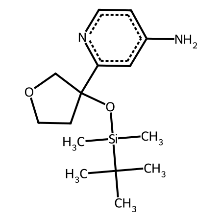 CC(C)(C)[Si](C)(C)OC1(c2cc(N)ccn2)CCOC1